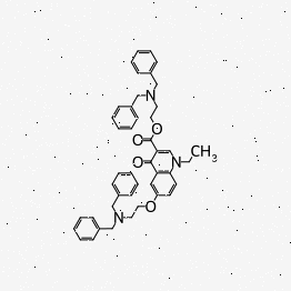 CCn1cc(C(=O)OCCN(Cc2ccccc2)Cc2ccccc2)c(=O)c2cc(OCCN(Cc3ccccc3)Cc3ccccc3)ccc21